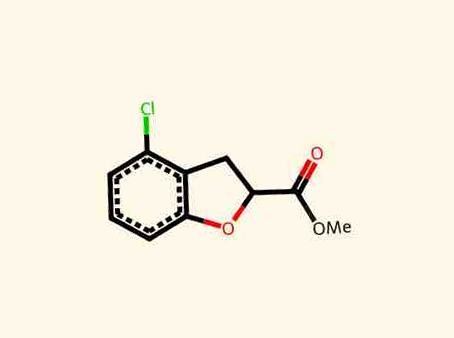 COC(=O)C1Cc2c(Cl)cccc2O1